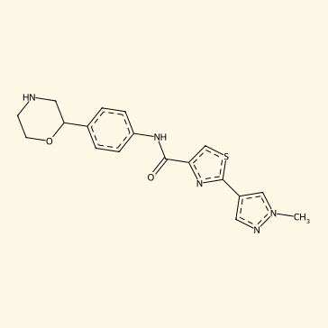 Cn1cc(-c2nc(C(=O)Nc3ccc(C4CNCCO4)cc3)cs2)cn1